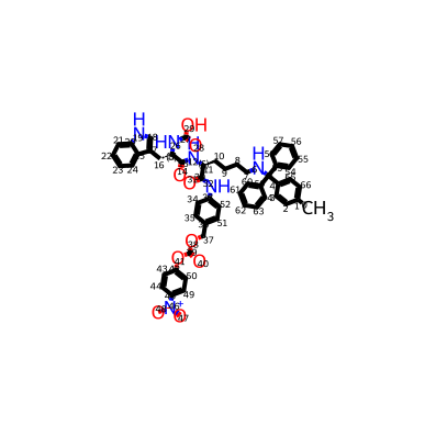 Cc1ccc(C(NCCCC[C@H](NC(=O)[C@H](Cc2c[nH]c3ccccc23)NC(=O)O)C(=O)Nc2ccc(COC(=O)Oc3ccc([N+](=O)[O-])cc3)cc2)(c2ccccc2)c2ccccc2)cc1